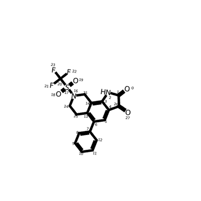 O=C1Nc2c(cc(-c3ccccc3)c3c2CN(S(=O)(=O)C(F)(F)F)CC3)C1=O